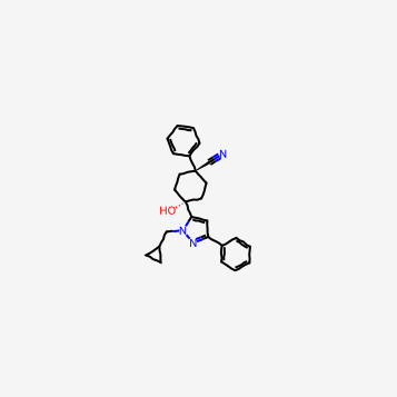 N#C[C@]1(c2ccccc2)CC[C@](O)(c2cc(-c3ccccc3)nn2CC2CC2)CC1